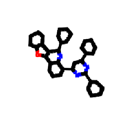 c1ccc(-c2cc(-c3cccc4c3nc(-c3ccccc3)c3c5ccccc5oc43)nc(-c3ccccc3)n2)cc1